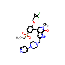 CCS(=O)(=O)c1ccc(OCC2CC2(F)F)c(-c2cn(C)c(=O)c3[nH]c(CN4CCN(c5ccncc5)CC4)cc23)c1